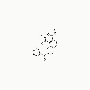 COC(=O)c1ccc2c(c1C(=O)OC)CN(C(=O)c1ccccc1)CC2